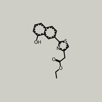 CCOC(=O)Cc1csc(-c2ccc3cccc(O)c3c2)n1